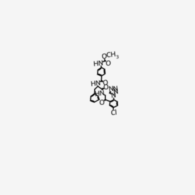 COC(=O)Nc1ccc(C(=O)NC(Cc2ccccc2)C(=O)NCC(=O)c2cc(Cl)ccc2-n2cnnn2)cc1